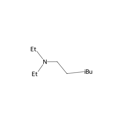 CCC(C)CCN(CC)CC